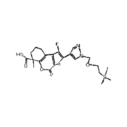 CC1(C(=O)O)CCCc2c1oc(=O)c1sc(-c3cnn(COCC[Si](C)(C)C)c3)c(F)c21